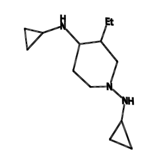 CCC1CN(NC2CC2)CCC1NC1CC1